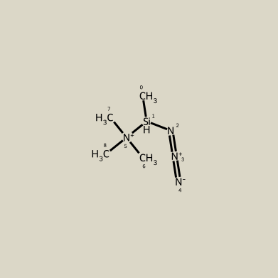 C[SiH](N=[N+]=[N-])[N+](C)(C)C